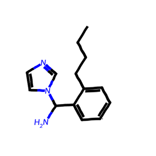 CCCCc1cc[c]cc1C(N)n1ccnc1